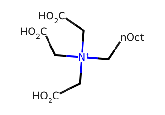 CCCCCCCCC[N+](CC(=O)O)(CC(=O)O)CC(=O)O